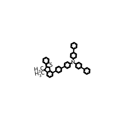 CC1(C)c2cccc(-c3ccc(-c4ccc(N(c5ccc(-c6ccccc6)cc5)c5ccc(-c6ccccc6)cc5)cc4)cc3)c2-c2sc3ccccc3c21